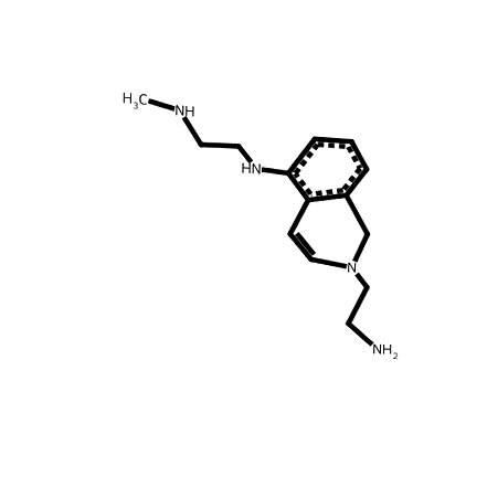 CNCCNc1cccc2c1C=CN(CCN)C2